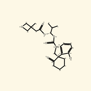 CC(C)[C@@H](OC(=O)CC1(C)COC1)OC(=O)NC[C@@]1(c2ccccc2Cl)CCCCC1=O